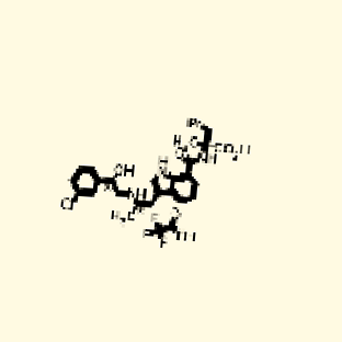 CC(C)C[C@](C)(NC(=O)c1cccc2c(C[C@@H](C)NC[C@H](O)c3cccc(Cl)c3)c[nH]c12)C(=O)O.O=C(O)C(F)(F)F